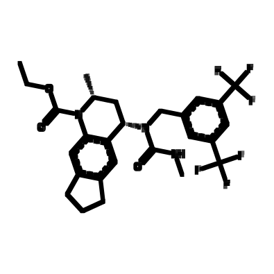 CCOC(=O)N1c2cc3c(cc2[C@@H](N(Cc2cc(C(F)(F)F)cc(C(F)(F)F)c2)C(=O)NC)C[C@H]1C)CCC3